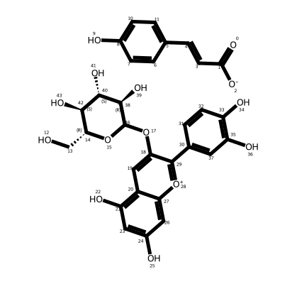 O=C([O-])C=Cc1ccc(O)cc1.OC[C@H]1OC(Oc2cc3c(O)cc(O)cc3[o+]c2-c2ccc(O)c(O)c2)[C@H](O)[C@@H](O)[C@@H]1O